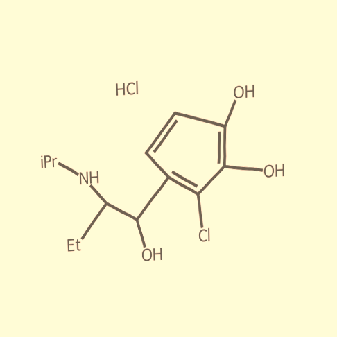 CCC(NC(C)C)C(O)c1ccc(O)c(O)c1Cl.Cl